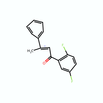 C/C(=C\C(=O)c1cc(F)ccc1F)c1ccccc1